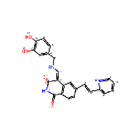 O=C1NC(=O)c2ccc(C=Cc3ccccn3)cc2C1=CNCc1ccc(O)c(O)c1